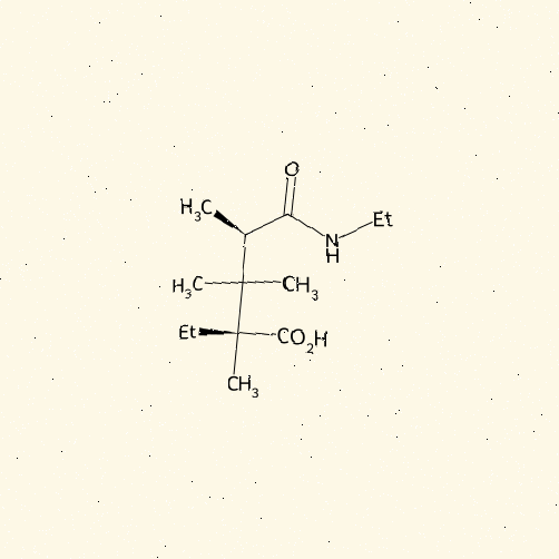 CCNC(=O)[C@H](C)C(C)(C)[C@](C)(CC)C(=O)O